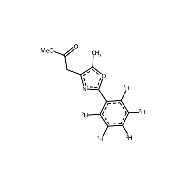 [2H]c1c([2H])c([2H])c(-c2nc(CC(=O)OC)c(C)o2)c([2H])c1[2H]